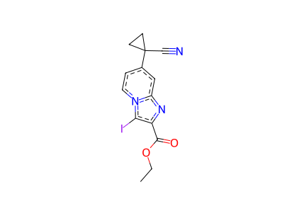 CCOC(=O)c1nc2cc(C3(C#N)CC3)ccn2c1I